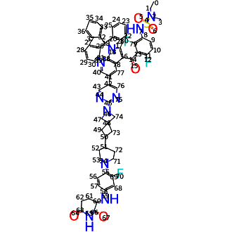 CCN(C)S(=O)(=O)Nc1ccc(F)c(C(=O)c2cn(C(c3ccccc3)(c3ccccc3)c3ccccc3)c3ncc(-c4cnc(N5CC6(CC(C7CCN(c8ccc(NC9CCC(=O)NC9=O)cc8F)CC7)C6)C5)nc4)cc23)c1F